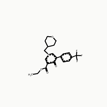 CCOC(=O)c1cn(CC2CCOCC2)cc(-c2ccc(C(F)(F)F)cc2)c1=O